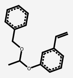 C=Cc1cccc(OC(C)OCc2ccccc2)c1